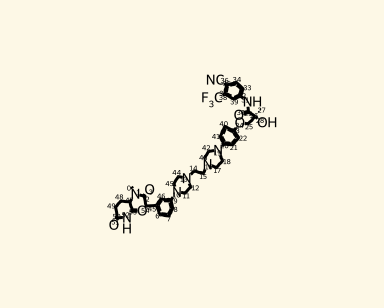 CN(C(=O)Cc1cccc(N2CCN(CCN3CCN(c4ccc(OC[C@](C)(O)C(=O)Nc5ccc(C#N)c(C(F)(F)F)c5)cc4)CC3)CC2)c1)C1CCC(=O)NC1=O